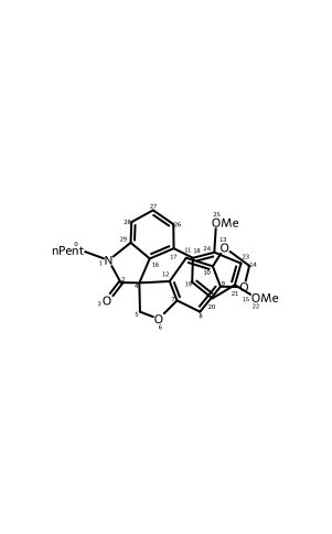 CCCCCN1C(=O)C2(COc3cc4c(cc32)OCO4)c2c(-c3ccc(OC)cc3OC)cccc21